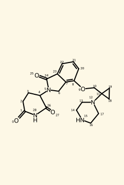 O=C1CCC(N2Cc3c(OCC4(N5CCNCC5)CC4)cccc3C2=O)C(=O)N1